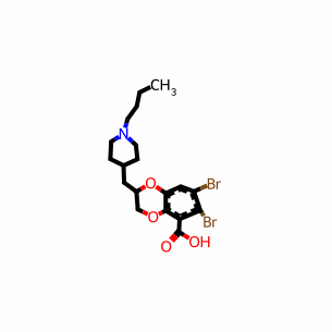 CCCCN1CCC(CC2COc3c(cc(Br)c(Br)c3C(=O)O)O2)CC1